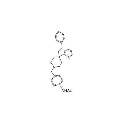 CC(=O)Nc1ccc(CN2CCC(CCc3ccccc3)(c3cccs3)CC2)cc1